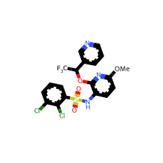 COc1ccc(NS(=O)(=O)c2cccc(Cl)c2Cl)c(OC(c2cccnc2)C(F)(F)F)n1